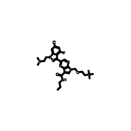 CCCNC(=O)c1cn(COCC[Si](C)(C)C)c2ncc(-c3nn(CCN(C)C)c4cc(Cl)cc(F)c34)nc12